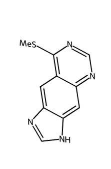 CSc1ncnc2cc3[nH]cnc3cc12